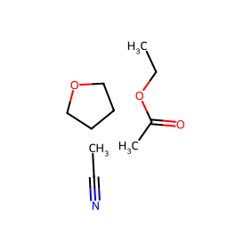 C1CCOC1.CC#N.CCOC(C)=O